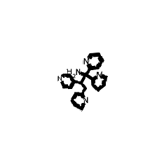 NC(c1ccccn1)(c1ccccn1)C(Cc1ccccn1)c1ccncc1